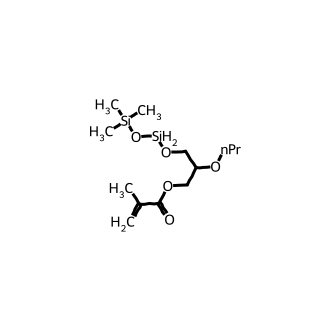 C=C(C)C(=O)OCC(CO[SiH2]O[Si](C)(C)C)OCCC